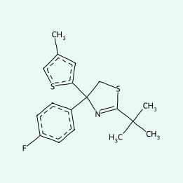 Cc1csc(C2(c3ccc(F)cc3)CSC(C(C)(C)C)=N2)c1